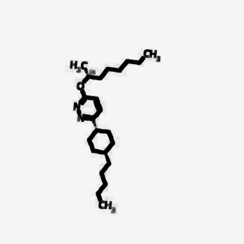 CCCCCC[C@@H](C)Oc1ccc([C@H]2CC[C@H](CCCCC)CC2)nn1